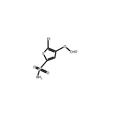 CCc1sc(S(N)(=O)=O)cc1OC=O